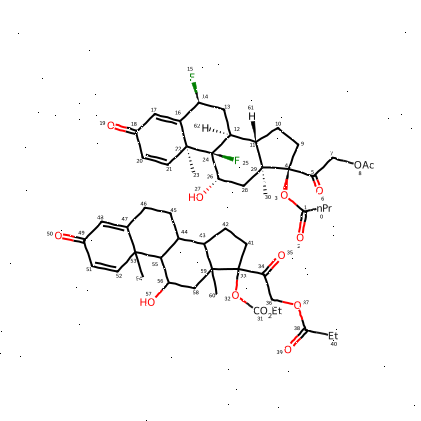 CCCC(=O)O[C@]1(C(=O)COC(C)=O)CC[C@H]2[C@@H]3C[C@H](F)C4=CC(=O)C=C[C@]4(C)[C@@]3(F)[C@@H](O)C[C@@]21C.CCOC(=O)OC1(C(=O)COC(=O)CC)CCC2C3CCC4=CC(=O)C=CC4(C)C3C(O)CC21C